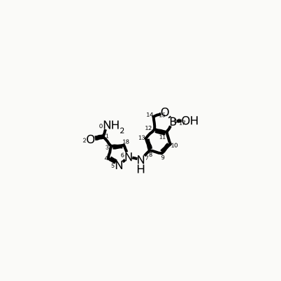 NC(=O)c1cnn(Nc2ccc3c(c2)COB3O)c1